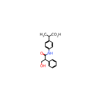 CC(C(=O)O)c1ccc(NC(=O)C(CO)c2ccccc2)cc1